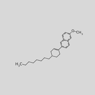 CCCCCCCCC1CC=C(c2ccc3cc(OC)ccc3c2)CC1